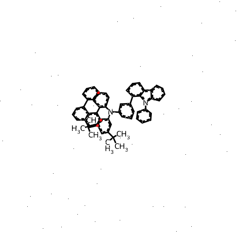 CC(C)(C)c1cc(N(c2cccc(-c3cccc4c5ccccc5n(-c5ccccc5)c34)c2)c2ccccc2-c2cccc3cccc(-c4ccccc4)c23)cc(C(C)(C)C)c1